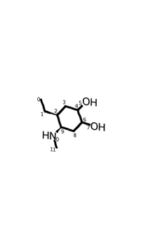 CC[C@H]1CC(O)C(O)C[C@H]1NC